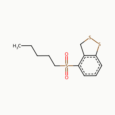 CCCCCS(=O)(=O)c1cccc2c1CSS2